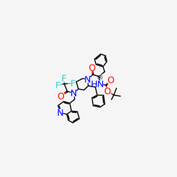 CC(C)(C)OC(=O)N[C@H](Cc1ccccc1)C(=O)N1CCC(N(Cc2ccnc3ccccc23)C(=O)C(F)(F)F)CC1Cc1ccccc1